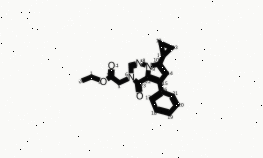 CCOC(=O)Cn1cnn2c(C3CC3)cc(-c3ccccc3)c2c1=O